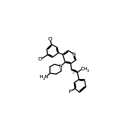 C/C(=C\c1cncc(-c2cc(Cl)cc(Cl)c2)c1N1CCC(N)CC1)c1cccc(F)c1